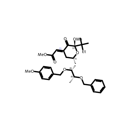 CCC(C)(C)[C@]1(OC)O[C@H](C[C@@H](OCc2ccc(OC)cc2)[C@@H](C)OCc2ccccc2)C/C(=C\C(=O)OC)C1=O